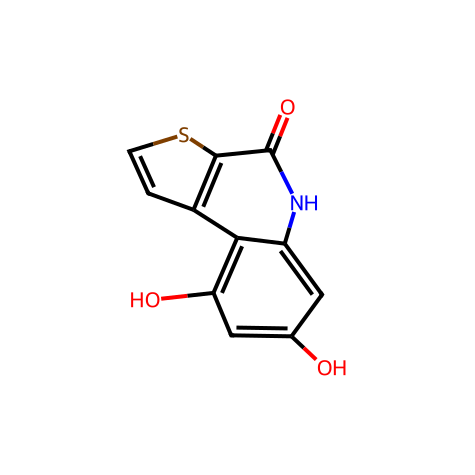 O=c1[nH]c2cc(O)cc(O)c2c2ccsc12